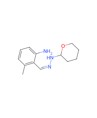 Cc1cccc(N)c1/C=N\NC1CCCCO1